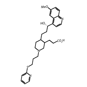 COc1ccc2nccc([C@@H](O)CCC3CCN(CCCSc4ccccn4)CC3CCC(=O)O)c2c1